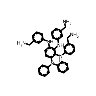 NCc1cccc(Nc2ccc(N(c3ccccc3)c3ccccc3)c(Nc3cccc(CN)c3)c2Nc2cccc(CN)c2)c1